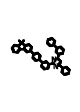 CC1(C)c2ccccc2-c2cc(-c3ccc(-c4cccc(-c5nc(-c6ccccc6)cc(-c6cccc(-c7ccccc7)c6)n5)c4)cc3)ccc21